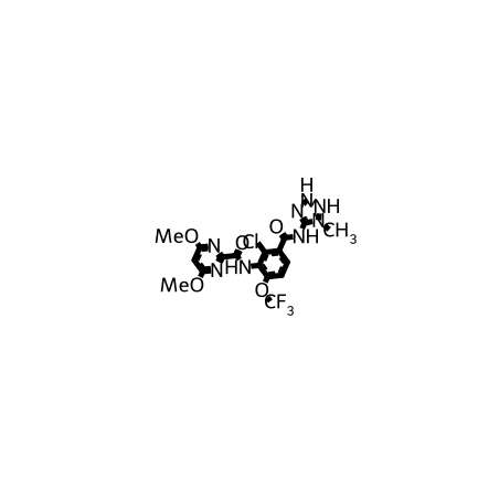 COc1cc(OC)nc(C(=O)Nc2c(OC(F)(F)F)ccc(C(=O)NC3=NNNN3C)c2Cl)n1